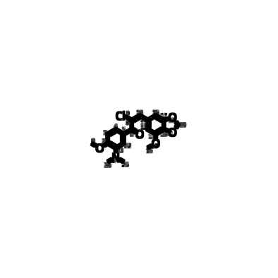 COc1ccc(C(=O)/C(Cl)=C\c2cc(OC)c3c(c2)OCO3)cc1N(C)C